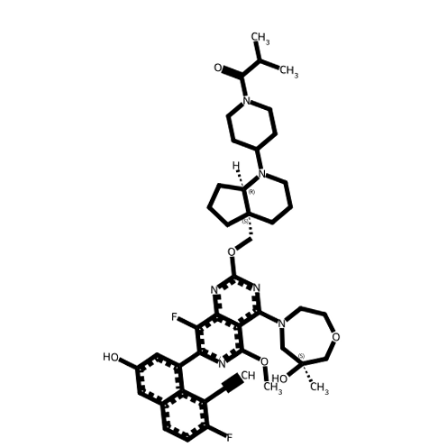 C#Cc1c(F)ccc2cc(O)cc(-c3nc(OC)c4c(N5CCOC[C@@](C)(O)C5)nc(OC[C@]56CCC[C@H]5N(C5CCN(C(=O)C(C)C)CC5)CCC6)nc4c3F)c12